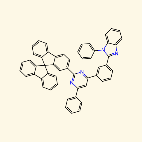 c1ccc(-c2cc(-c3cccc(-c4nc5ccccc5n4-c4ccccc4)c3)nc(-c3ccc4c(c3)C3(c5ccccc5-c5ccccc53)c3ccccc3-4)n2)cc1